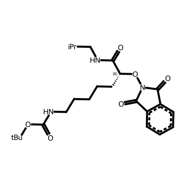 CC(C)CNC(=O)[C@@H](CCCCCNC(=O)OC(C)(C)C)ON1C(=O)c2ccccc2C1=O